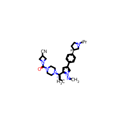 C=Nn1cc(-c2ccc([C@H]3CCN(C(C)C)C3)cc2)cc1/C(=C\C)N1CCN(C(=O)N2CC(C#N)C2)CC1